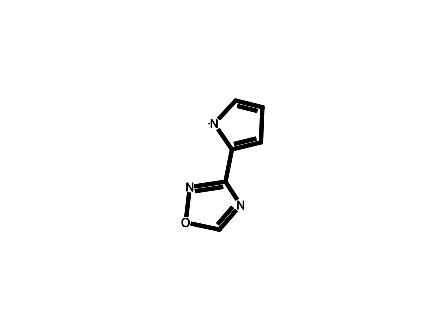 C1=C[N]C(c2ncon2)=C1